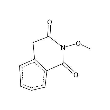 CON1C(=O)Cc2ccccc2C1=O